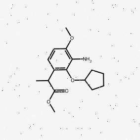 COC(=O)C(C)c1ccc(OC)c(N)c1OC1CCCC1